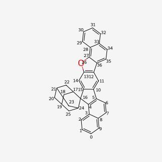 c1ccc2c3c(ccc2c1)-c1cc2c(cc1C31C3CC4CC(C3)CC1C4)oc1c3ccccc3ccc21